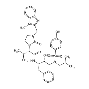 CC(C)CN(C[C@@H](O)[C@H](Cc1ccccc1)NC(=O)[C@H](C(C)C)N1CCN(Cc2nc3ccccc3n2C)C1=O)S(=O)(=O)c1ccc(O)cc1